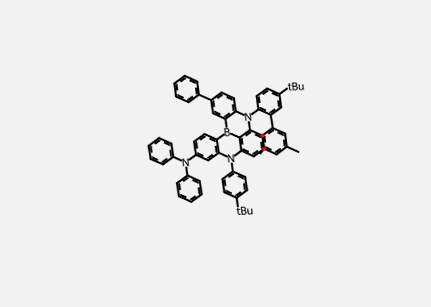 Cc1cc(C)cc(-c2cc(C(C)(C)C)ccc2N2c3ccc(-c4ccccc4)cc3B3c4ccc(N(c5ccccc5)c5ccccc5)cc4N(c4ccc(C(C)(C)C)cc4)c4cccc2c43)c1